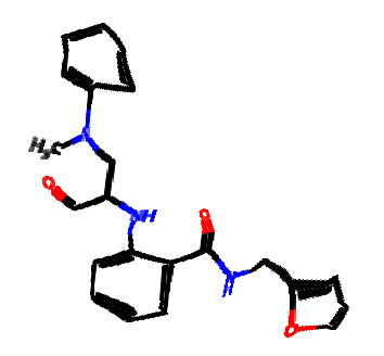 CN(CC(C=O)Nc1ccccc1C(=O)NCc1ccco1)c1ccccc1